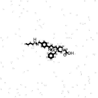 CCCCNN=Cc1ccc(C2=NOC(CC3(OCc4ccccc4)CCN(CC(=O)O)CC3)C2)cc1